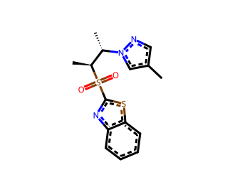 Cc1cnn([C@@H](C)[C@H](C)S(=O)(=O)c2nc3ccccc3s2)c1